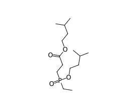 CCP(=O)(CCC(=O)OCCC(C)C)OCCC(C)C